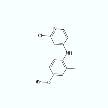 Cc1cc(OC(C)C)ccc1Nc1ccnc(Cl)c1